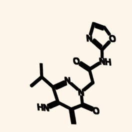 C=C1C(=N)C(C(C)C)=NN(CC(=O)Nc2ncco2)C1=O